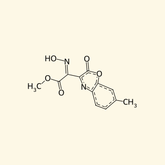 COC(=O)/C(=N\O)c1nc2ccc(C)cc2oc1=O